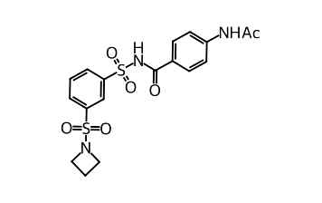 CC(=O)Nc1ccc(C(=O)NS(=O)(=O)c2cccc(S(=O)(=O)N3CCC3)c2)cc1